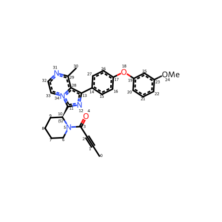 CC#CC(=O)N1CCCC[C@H]1c1nc(-c2ccc(Oc3cccc(OC)c3)cc2)c2c(C)nccn12